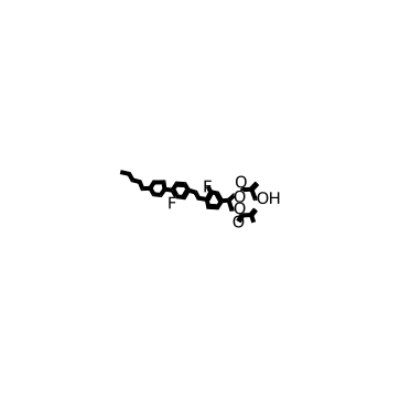 C=C(C)C(=O)OCC(COC(=O)C(=C)CO)c1ccc(CCc2ccc(C3CCC(CCCCC)CC3)c(F)c2)c(F)c1